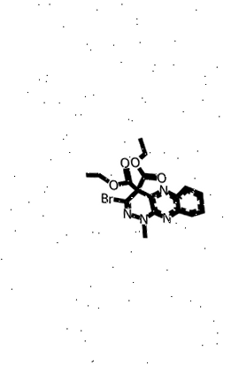 CCOC(=O)C1(C(=O)OCC)C(Br)=NN(C)c2nc3ccccc3nc21